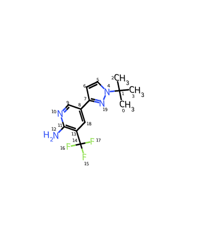 CC(C)(C)n1ccc(-c2cnc(N)c(C(F)(F)F)c2)n1